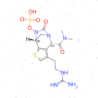 CN(C)C(=O)[C@@H]1c2c(CCNC(=N)N)csc2[C@H]2CN1C(=O)N2OS(=O)(=O)O